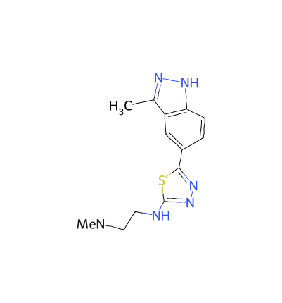 CNCCNc1nnc(-c2ccc3[nH]nc(C)c3c2)s1